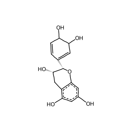 Oc1cc(O)c2c(c1)O[C@@H](C1=CC(O)C(O)C=C1)[C@@H](O)C2